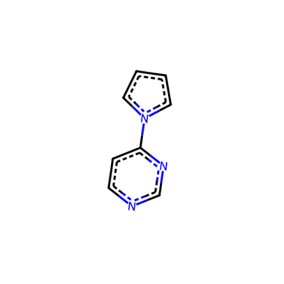 c1ccn(-c2ccncn2)c1